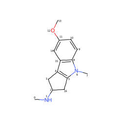 CNC1Cc2c(n(C)c3ccc(OC)cc23)C1